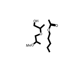 CCCCCOC(C)=O.COC(C)COC(C)CO